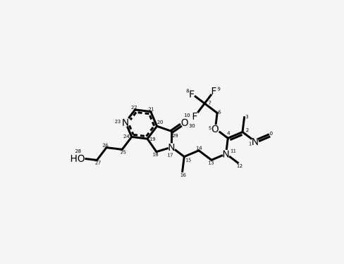 C=N/C(C)=C(/OCC(F)(F)F)N(C)CCC(C)N1Cc2c(ccnc2CCCO)C1=O